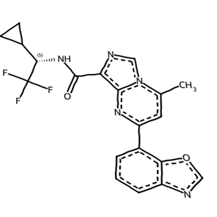 Cc1cc(-c2cccc3ncoc23)nc2c(C(=O)N[C@@H](C3CC3)C(F)(F)F)ncn12